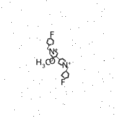 COc1c[n+](Cc2ccc(F)cc2)ccc1-c1cc[n+](Cc2ccc(F)cc2)cc1